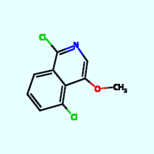 COc1cnc(Cl)c2cccc(Cl)c12